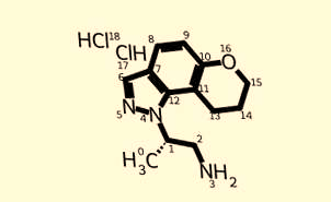 C[C@@H](CN)n1ncc2ccc3c(c21)CCCO3.Cl.Cl